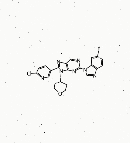 Fc1ccc2ncn(-c3ncc4nc(-c5ccc(Cl)nc5)n(C5CCOCC5)c4n3)c2c1